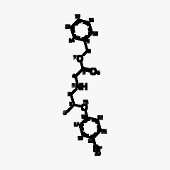 CC(CNCC(=O)OCc1ccccc1)Oc1ccc(Br)cc1